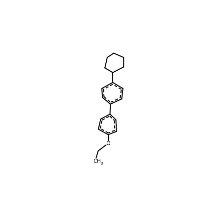 CCOc1ccc(-c2ccc(C3CC[CH]CC3)cc2)cc1